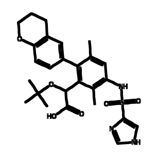 Cc1cc(NS(=O)(=O)c2c[nH]cn2)c(C)c(C(OC(C)(C)C)C(=O)O)c1-c1ccc2c(c1)CCCO2